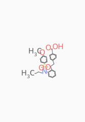 CCCCN(c1ccccc1CCc1ccc(C(=O)O)cc1)S(=O)(=O)c1ccc(OC)cc1